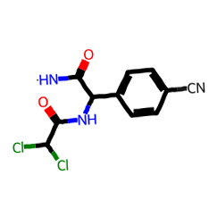 N#Cc1ccc(C(NC(=O)C(Cl)Cl)C([NH])=O)cc1